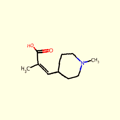 CC(=CC1CCN(C)CC1)C(=O)O